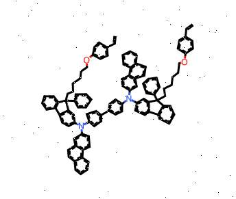 C=Cc1ccc(OCCCCCCC2(c3ccccc3)c3ccccc3-c3ccc(N(c4ccc(-c5ccc(N(c6ccc7c(c6)C(CCCCCCOc6ccc(C=C)cc6)(c6ccccc6)c6ccccc6-7)c6ccc7c(ccc8ccccc87)c6)cc5)cc4)c4ccc5c(ccc6ccccc65)c4)cc32)cc1